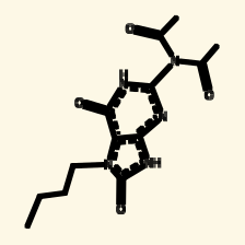 CCCCn1c(=O)[nH]c2nc(N(C(C)=O)C(C)=O)[nH]c(=O)c21